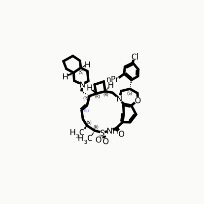 CCCc1cc(Cl)ccc1[C@@H]1COc2ccc3cc2N(C1)C[C@@H]1CC[C@H]1[C@@H](CN1CC[C@@H]2CCCC[C@H]2C1)/C=C/C[C@H](C)[C@@H](C)S(=O)(=O)NC3=O